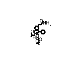 CC(C)Cn1c(CNC(=O)OC(C)(C)C)c(-c2ccccc2)c2cc(C=CC(N)=O)ccc2c1=O